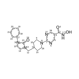 O=C(NO)c1cnc(N2CCC(Cn3ccn(-c4ccccc4)c3=O)CC2)nc1